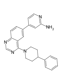 Nc1cc(-c2ccc3ncnc(N4CCC(c5ccccc5)CC4)c3c2)ccn1